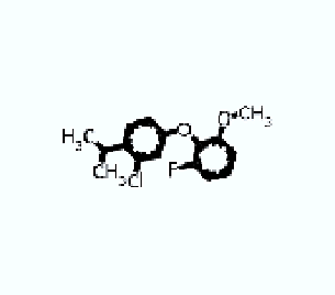 COc1cccc(F)c1Oc1ccc(C(C)C)c(Cl)c1